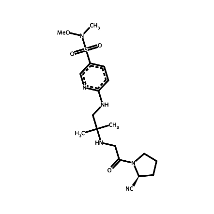 CON(C)S(=O)(=O)c1ccc(NCC(C)(C)NCC(=O)N2CCC[C@H]2C#N)nc1